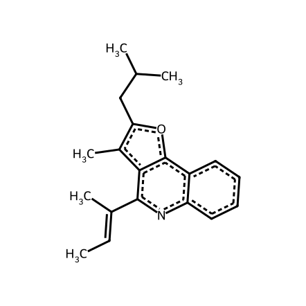 C/C=C(\C)c1nc2ccccc2c2oc(CC(C)C)c(C)c12